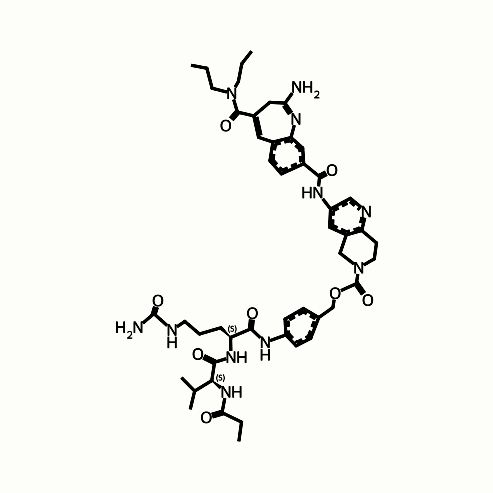 CCCN(CCC)C(=O)C1=Cc2ccc(C(=O)Nc3cnc4c(c3)CN(C(=O)OCc3ccc(NC(=O)[C@H](CCCNC(N)=O)NC(=O)[C@@H](NC(=O)CC)C(C)C)cc3)CC4)cc2N=C(N)C1